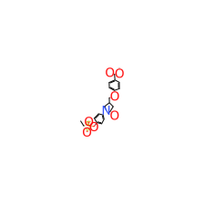 CCS(=O)(=O)Oc1ccc(N2CC(COc3ccc(C(=O)OC)cc3)CC2=O)cc1